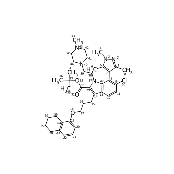 Cc1nn(C)c(C)c1-c1c(Cl)ccc2c(CCCOc3cccc4c3CCCC4)c(C(=O)OC(C)(C)C)n(CCN3CCN(C)CC3)c12